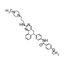 COc1ccc(C(=O)Nc2ccc(C3Cc4cnc(NCCCN5CCN(C)CC5)nc4-c4ccccc43)cc2)cc1